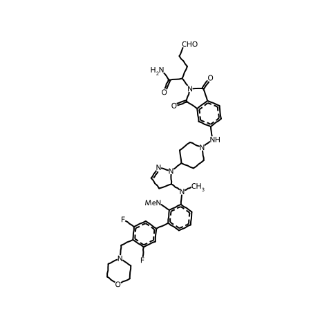 CNc1c(-c2cc(F)c(CN3CCOCC3)c(F)c2)cccc1N(C)C1CC=NN1C1CCN(Nc2ccc3c(c2)C(=O)N(C(CCC=O)C(N)=O)C3=O)CC1